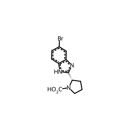 O=C(O)N1CCC[C@H]1c1nc2cc(Br)ccc2[nH]1